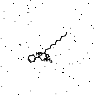 CCCCCCCCCC(=O)NC(CN)c1ccccc1